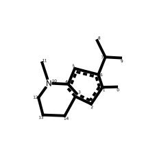 Cc1cc2c(cc1C(C)C)N(C)CCC2